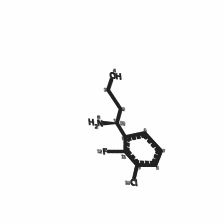 N[C@@H](CCO)c1cccc(Cl)c1F